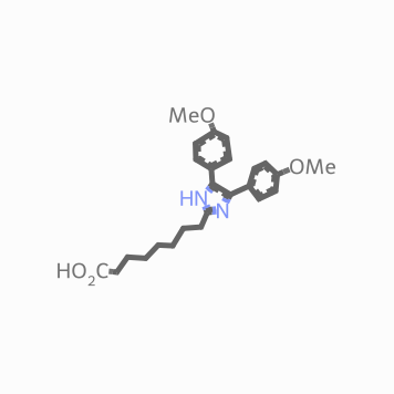 COc1ccc(-c2nc(CCCCCCCC(=O)O)[nH]c2-c2ccc(OC)cc2)cc1